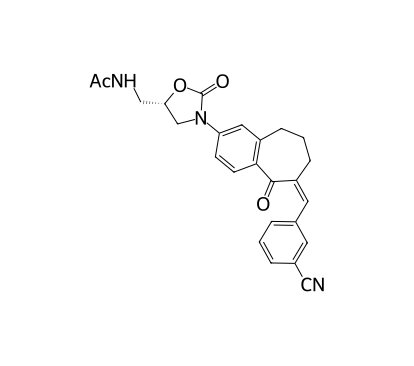 CC(=O)NC[C@H]1CN(c2ccc3c(c2)CCC/C(=C/c2cccc(C#N)c2)C3=O)C(=O)O1